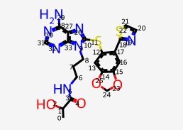 CC(O)C(=O)NCCCn1c(Sc2cc3c(cc2-c2nccs2)OCO3)nc2c(N)ncnc21